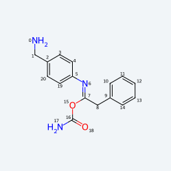 NCc1ccc(N=C(Cc2ccccc2)OC(N)=O)cc1